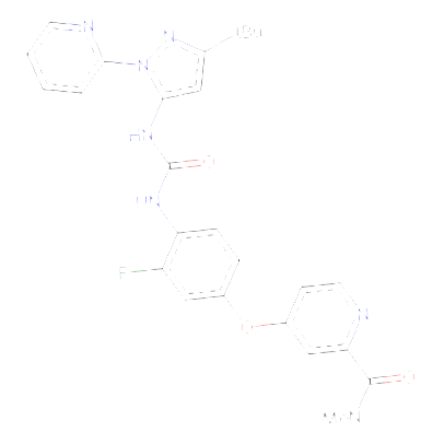 CNC(=O)c1cc(Oc2ccc(NC(=O)Nc3cc(C(C)(C)C)nn3-c3ccccn3)c(F)c2)ccn1